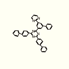 c1ccc(-c2ccc(-c3nc(-c4ccc(-c5ccccc5)cc4)nc(-c4cc(-c5ccccc5)cc(-c5ncccn5)c4)n3)cc2)cc1